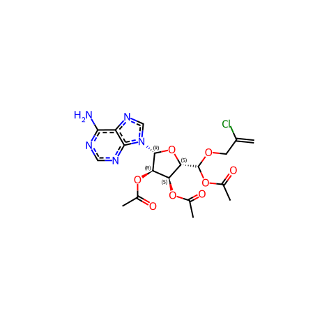 C=C(Cl)COC(OC(C)=O)[C@H]1O[C@@H](n2cnc3c(N)ncnc32)[C@H](OC(C)=O)[C@@H]1OC(C)=O